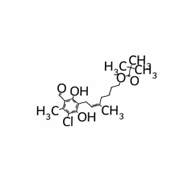 CC(=CCc1c(O)c(Cl)c(C)c(C=O)c1O)CCCCOC(=O)C(C)(C)C